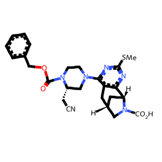 CSc1nc2c(c(N3CCN(C(=O)OCc4ccccc4)[C@@H](CC#N)C3)n1)C[C@@H]1C[C@H]2N(C(=O)O)C1